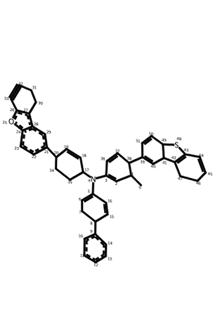 CC1C=C(N(C2=CCC(c3ccccc3)C=C2)C2C=CC(c3ccc4oc5c(c4c3)CCC#C5)CC2)C=CC1C1=CC2C3=C(C=CCC3)SC2C=C1